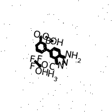 Cc1nnc(N)c2ccc(C3=C4B(O)OC(=O)C4CC=C3)cc12.O=C(O)C(F)(F)F